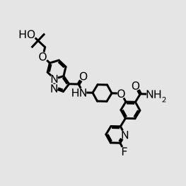 CC(C)(O)COc1ccc2c(C(=O)NC3CCC(Oc4cc(-c5cccc(F)n5)ccc4C(N)=O)CC3)cnn2c1